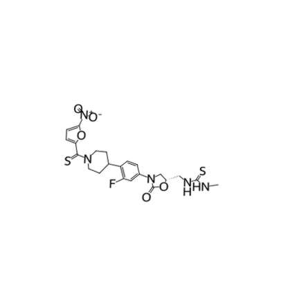 CNC(=S)NC[C@H]1CN(c2ccc(C3CCN(C(=S)c4ccc([N+](=O)[O-])o4)CC3)c(F)c2)C(=O)O1